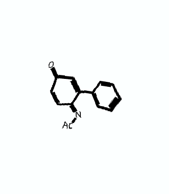 CC(=O)N=C1C=CC(=O)C=C1c1ccccc1